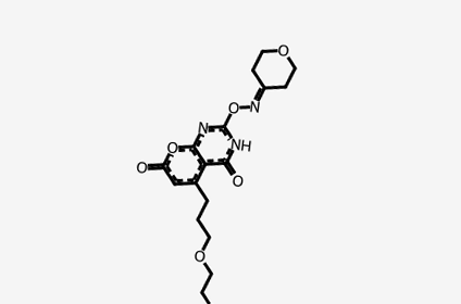 CCCOCCCc1cc(=O)oc2nc(ON=C3CCOCC3)[nH]c(=O)c12